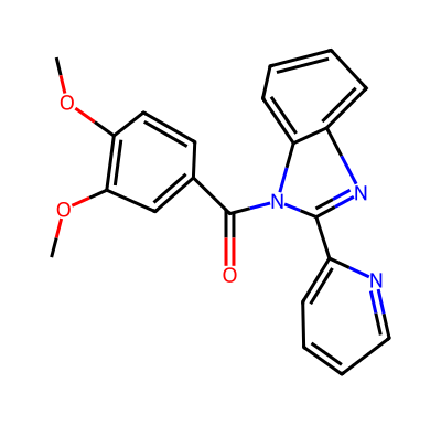 COc1ccc(C(=O)n2c(-c3ccccn3)nc3ccccc32)cc1OC